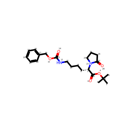 CC(C)(C)OC(=O)[C@H](CCCCNC(=O)OCc1ccccc1)N1CCCC1=O